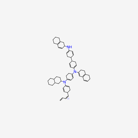 C=C/C=C\C1C=CC(N(C2=CC=C(N(C3=CCC(C4C=CC(NC5C=CC6=C(CCCC6)C5)=CC4)C=C3)C3=CC4=C(CCC=C4)CC3)CC2)C2CCC3CCCCC3C2)=CC1